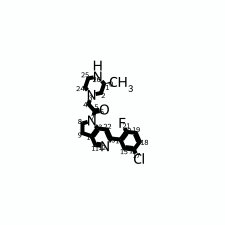 C[C@@H]1CN(CC(=O)N2CCc3cnc(-c4cc(Cl)ccc4F)cc32)CCN1